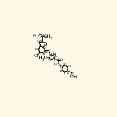 Cc1cc(C(=O)Nc2ccc(CO)cc2)nn1Cc1cc(Cl)cc2cc(C(C)C)oc12